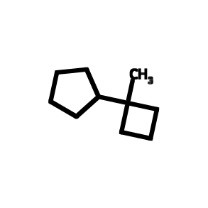 CC1(C2CCCC2)CCC1